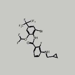 O=C(Nc1c(Br)cc(C(F)(C(F)(F)F)C(F)(F)F)cc1OC(F)F)c1cccc(NCC2CC2)c1F